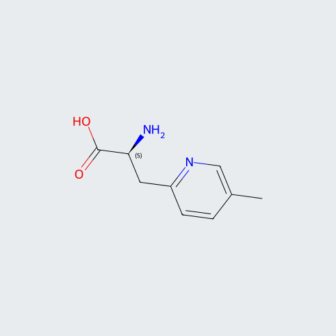 Cc1ccc(C[C@H](N)C(=O)O)nc1